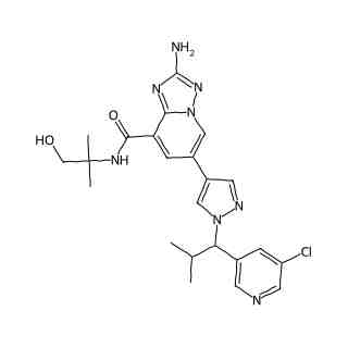 CC(C)C(c1cncc(Cl)c1)n1cc(-c2cc(C(=O)NC(C)(C)CO)c3nc(N)nn3c2)cn1